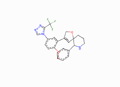 COc1ccc(-n2cnnc2C(F)(F)F)cc1C1=CC2(CCCNC2c2ccccc2)OC1